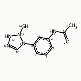 CC(=O)Nc1cccc(N2C=NNN2S)c1